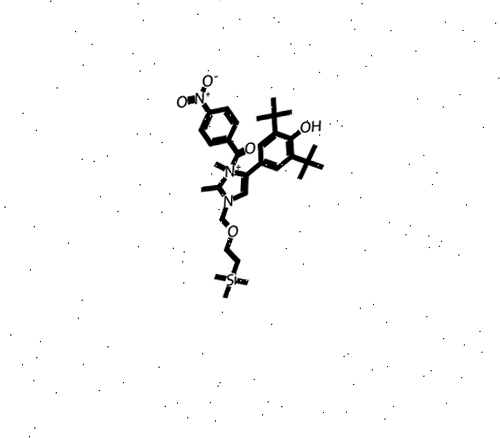 CC1N(COCC[Si](C)(C)C)C=C(c2cc(C(C)(C)C)c(O)c(C(C)(C)C)c2)[N+]1(C)C(=O)c1ccc([N+](=O)[O-])cc1